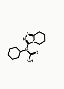 O=C(O)N(c1nnc2n1CCCC2)C1CCCCC1